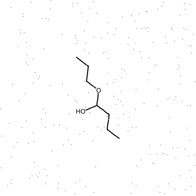 CC[CH]OC(O)CCC